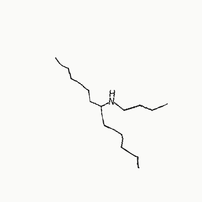 CCCCCC(CCCCC)NCCCC